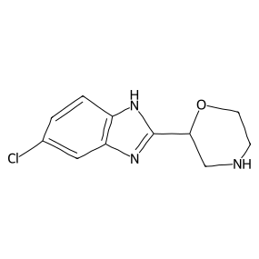 Clc1ccc2[nH]c(C3CNCCO3)nc2c1